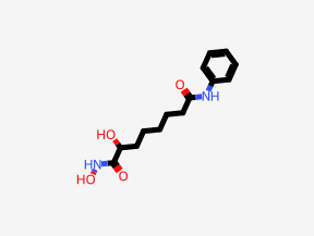 O=C(CCCCCC(O)C(=O)NO)Nc1ccccc1